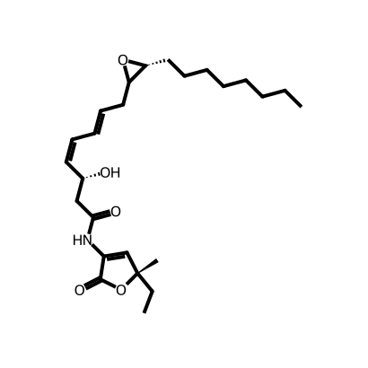 CCCCCCCC[C@H]1OC1C/C=C/C=C\[C@H](O)CC(=O)NC1=C[C@](C)(CC)OC1=O